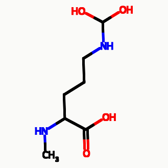 CNC(CCCNC(O)O)C(=O)O